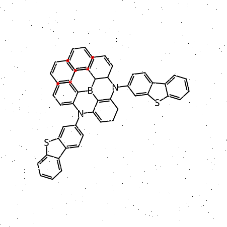 C1=CC2C(B3C4=C(CCC=C4N(c4ccc5c(c4)sc4ccccc45)c4cccc(-c5ccccc5)c43)N2c2ccc3c(c2)sc2ccccc23)C(c2ccccc2)=C1